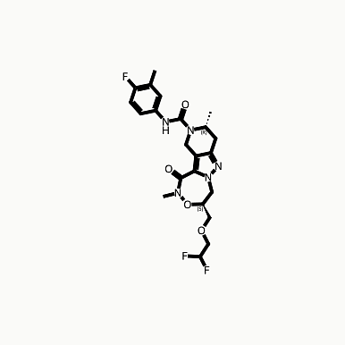 Cc1cc(NC(=O)N2Cc3c(nn4c3C(=O)N(C)O[C@H](COCC(F)F)C4)C[C@H]2C)ccc1F